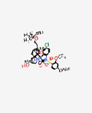 CNC(=O)[C@@H]1C[C@@H](O)C[N+]1(C)C1(c2cc(CCO[Si](C)(C)C(C)(C)C)ccc2OC)C(=O)N(S(=O)(=O)c2ccc(OC)cc2OC(F)(F)F)c2ccc(Cl)cc21